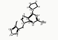 Cc1nonc1Cn1cnc2c(N3CCCC3)nc(C(C)(C)C)nc21